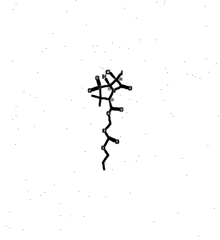 CCCOC(=O)OCOC(=O)[C@@H]1N2C(=O)[C@@](Cl)(I)[C@H]2S(=O)(=O)C1(C)C